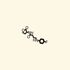 O=C(CCCNc1ccc(F)cc1)NC1CCOC1=O